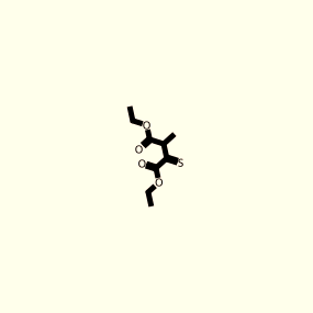 CCOC(=O)C(=S)C(C)C(=O)OCC